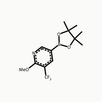 COc1ncc(B2OC(C)(C)C(C)(C)O2)cc1C(F)(F)F